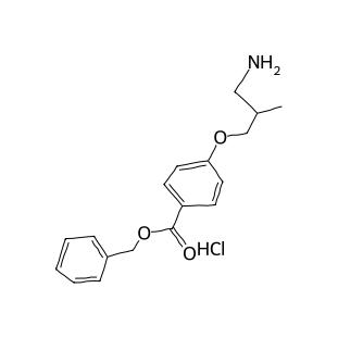 CC(CN)COc1ccc(C(=O)OCc2ccccc2)cc1.Cl